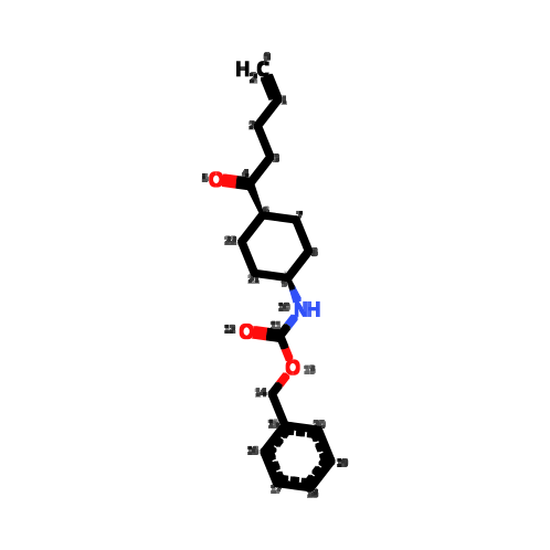 C=CCCC(=O)[C@H]1CC[C@@H](NC(=O)OCc2ccccc2)CC1